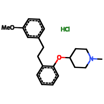 COc1cccc(CCc2ccccc2OC2CCN(C)CC2)c1.Cl